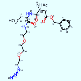 CC(=O)N[C@@H](CC(=O)OCc1ccccc1)C(=O)N[C@@H](CC(=O)O)C(=O)NCCOCCOCCN=[N+]=[N-]